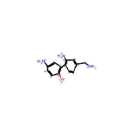 NCc1ccc(-c2cc(N)ccc2O)c(N)c1